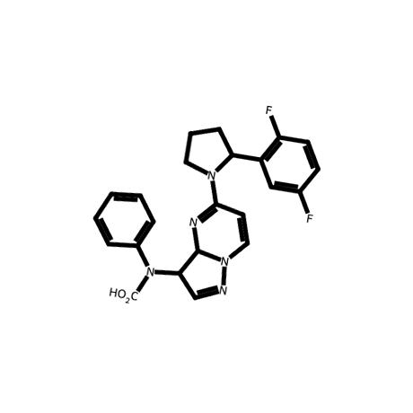 O=C(O)N(c1ccccc1)C1C=NN2C=CC(N3CCCC3c3cc(F)ccc3F)=NC12